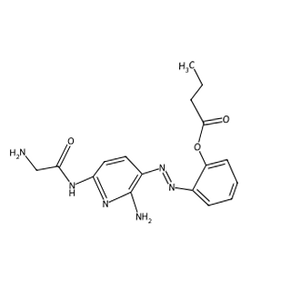 CCCC(=O)Oc1ccccc1/N=N/c1ccc(NC(=O)CN)nc1N